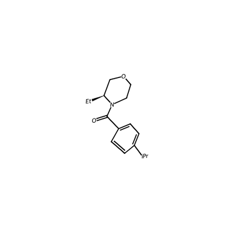 CC[C@H]1COCCN1C(=O)c1ccc(C(C)C)cc1